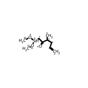 C=CCC(C)C(=O)C[SiH](OC)OC